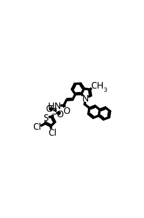 Cc1cn(Cc2ccc3ccccc3c2)c2c(/C=C/C(=O)NS(=O)(=O)c3cc(Cl)c(Cl)s3)cccc12